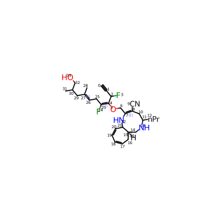 C#CC(F)/C(OC/C1=C(\C#N)CC(CCC)NC[C@H]2CC=CC=CC2N1)=C(/F)C/C=C(\C)CC(C)CO